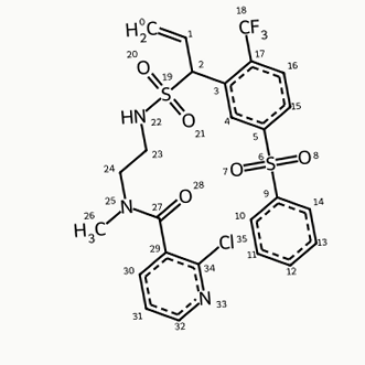 C=CC(c1cc(S(=O)(=O)c2ccccc2)ccc1C(F)(F)F)S(=O)(=O)NCCN(C)C(=O)c1cccnc1Cl